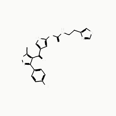 Cc1onc(-c2ccc(Cl)cc2)c1C(=O)c1c[nH]c(OC(=O)NCCc2c[nH]cn2)c1